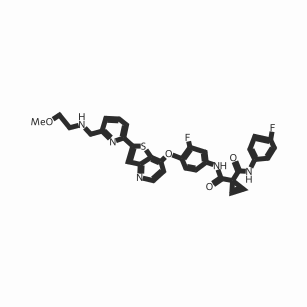 COCCNCc1cccc(-c2cc3nccc(Oc4ccc(NC(=O)C5(C(=O)Nc6ccc(F)cc6)C=C5)cc4F)c3s2)n1